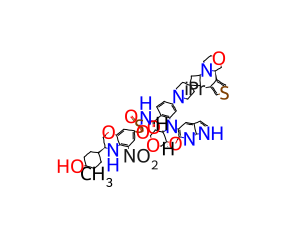 CC(C)c1cscc1[C@@H]1COCCN1C1CC2(CCN(c3ccc(C(=O)NS(=O)(=O)c4cc5c(c([N+](=O)[O-])c4)N[C@@H](C4CCC(C)(O)CC4)CO5)c(N4c5cc6cc[nH]c6nc5O[C@H]5COCC[C@@H]54)c3)CC2)C1